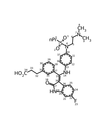 CCCS(=O)(=O)N(CCN(C)C)c1ccc(NC(=C2C(=O)Nc3cc(F)ccc32)c2cccc(CCC(=O)O)c2)cc1